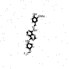 COc1cc(C=NNc2ncnc3c(Nc4ccc(OC(F)(F)F)cc4)ncnc23)ccc1O